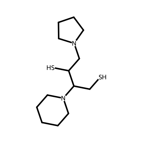 SCC(C(S)CN1CCCC1)N1CCCCC1